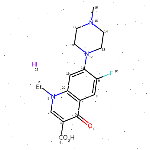 CCn1cc(C(=O)O)c(=O)c2cc(F)c(N3CCN(C)CC3)cc21.I